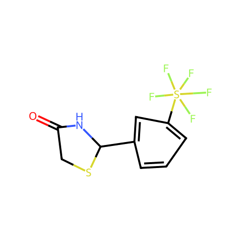 O=C1CSC(c2cccc(S(F)(F)(F)(F)F)c2)N1